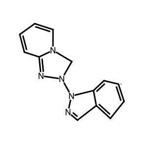 [c]1ccc2cnn(N3CN4C=CC=CC4=N3)c2c1